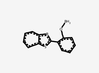 BOc1ccccc1-c1bc2ccccc2s1